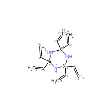 C=C[Si]1(C=C)N[Si](C=C)(C=C)N[Si](C=C)(C=C)N1